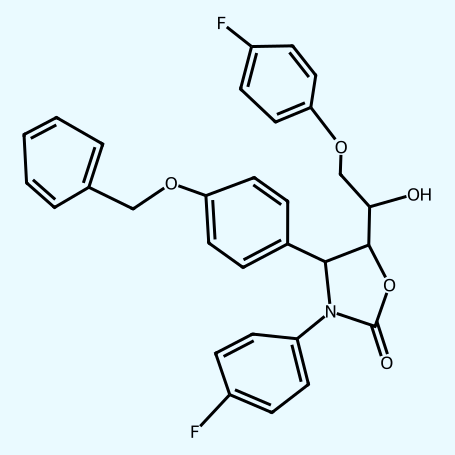 O=C1OC(C(O)COc2ccc(F)cc2)C(c2ccc(OCc3ccccc3)cc2)N1c1ccc(F)cc1